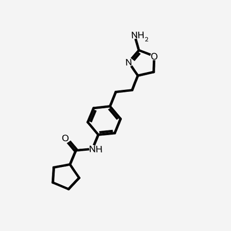 NC1=NC(CCc2ccc(NC(=O)C3CCCC3)cc2)CO1